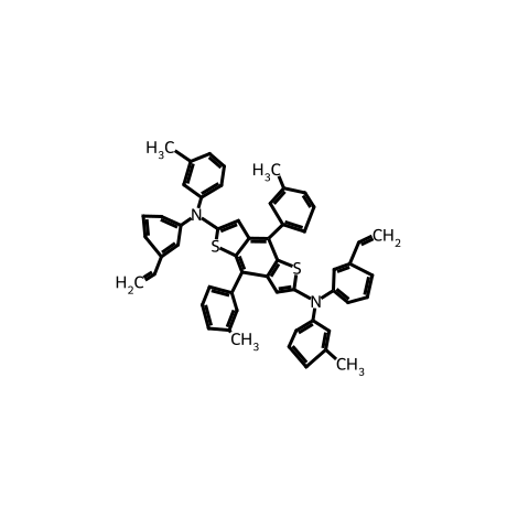 C=Cc1cccc(N(c2cccc(C)c2)c2cc3c(-c4cccc(C)c4)c4sc(N(c5cccc(C)c5)c5cccc(C=C)c5)cc4c(-c4cccc(C)c4)c3s2)c1